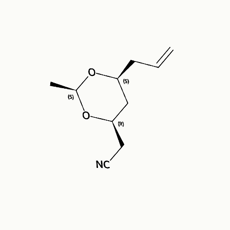 C=CC[C@H]1C[C@@H](CC#N)O[C@@H](C)O1